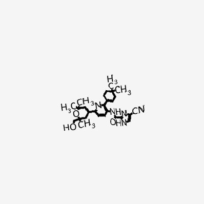 CC1(C)CC=C(c2nc(C3CC(C)(C)OC(C)(CO)C3)ccc2NC(=O)c2nc(C#N)c[nH]2)CC1